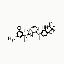 Cc1cc(C)cc(Nc2nc3c(Nc4ccc5c(c4)NC(=O)C(F)(F)O5)nccn3n2)c1